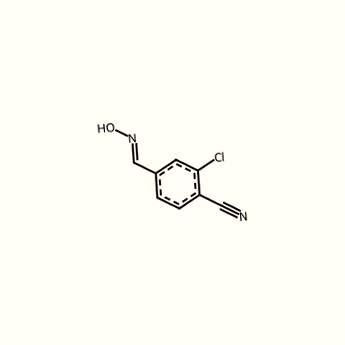 N#Cc1ccc(/C=N/O)cc1Cl